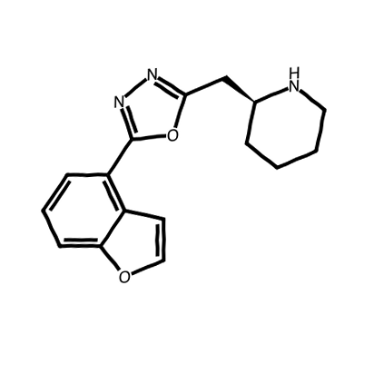 c1cc(-c2nnc(C[C@@H]3CCCCN3)o2)c2ccoc2c1